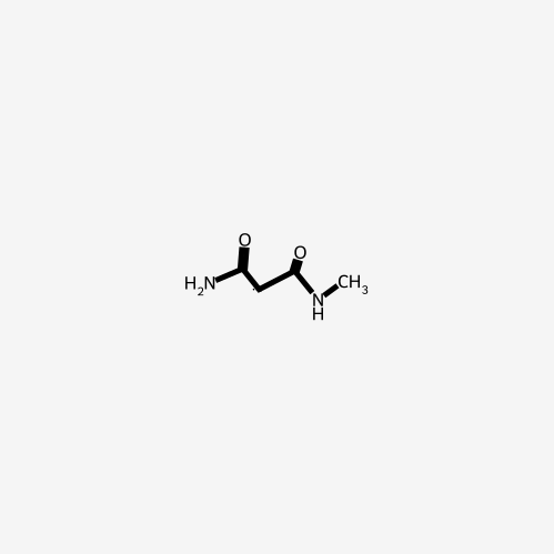 CNC(=O)[CH]C(N)=O